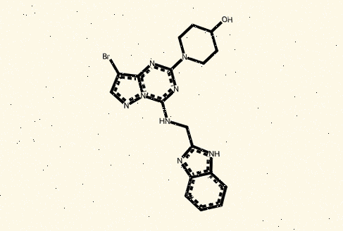 OC1CCN(c2nc(NCc3nc4ccccc4[nH]3)n3ncc(Br)c3n2)CC1